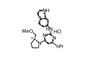 CCCc1cc(N2CCC[C@H]2COC)nc(Nc2ccc3cc[nH]c3c2)n1.Cl